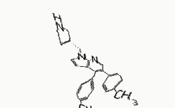 Cc1ccc(-c2cnc3c(ccn3C[C@@H]3CCNC3)c2-c2ccc(C#N)cc2)cc1